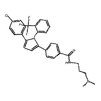 CN(C)CCCNC(=O)c1ccc(-c2ccc(-c3ccc(Cl)cc3)n2-c2ccccc2C(F)(F)F)cc1